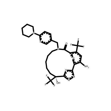 Nc1cc(C(F)(F)F)c2nc1-c1nnc(o1)[C@@](O)(C(F)(F)F)CCCCCN(Cc1ccc(N3CCCCC3)nc1)C2=O